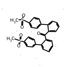 CS(=O)(=O)c1ccc(-c2ccccc2C(=O)c2ccccc2-c2ccc(S(C)(=O)=O)cc2)cc1